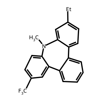 CCc1ccc2c(c1)N(C)c1ccc(C(F)(F)F)cc1-c1ccccc1-2